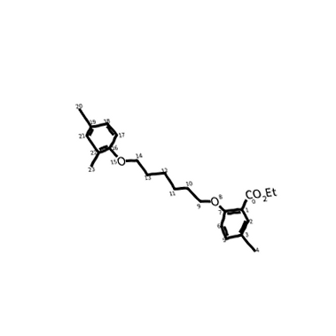 CCOC(=O)c1cc(C)ccc1OCCCCCCOc1ccc(C)cc1C